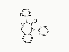 O=C1C(c2nccs2)N=Cc2ccccc2N1c1ccccc1